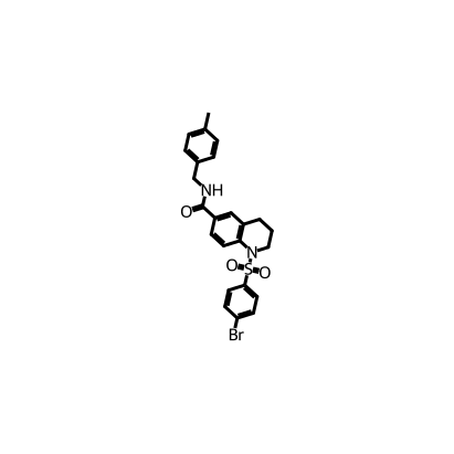 Cc1ccc(CNC(=O)c2ccc3c(c2)CCCN3S(=O)(=O)c2ccc(Br)cc2)cc1